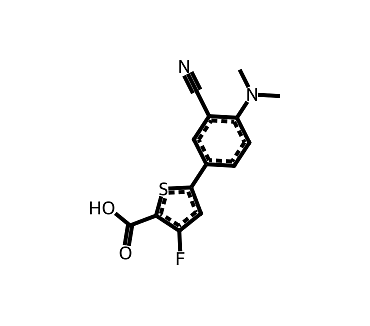 CN(C)c1ccc(-c2cc(F)c(C(=O)O)s2)cc1C#N